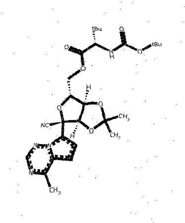 Cc1ncnn2c([C@]3(C#N)O[C@H](COC(=O)[C@@H](NC(=O)OC(C)(C)C)C(C)(C)C)[C@H]4OC(C)(C)O[C@H]43)ccc12